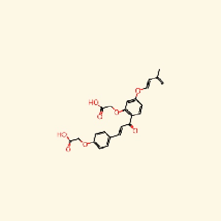 C=C(C)C=COc1ccc(C(=O)C=Cc2ccc(OCC(=O)O)cc2)c(OCC(=O)O)c1